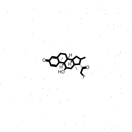 CC1C[C@H]2[C@@H]3CCC4=CC(=O)C=C[C@]4(C)[C@H]3C(O)C[C@]2(C)[C@H]1C(=O)CF